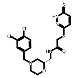 O=C(CSc1ccc(=S)[nH]n1)NC[C@H]1CN(Cc2ccc(Cl)c(Cl)c2)CCO1